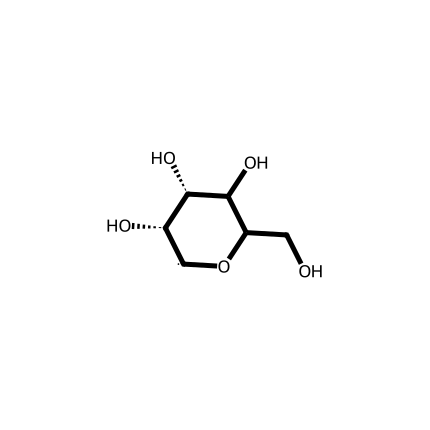 OCC1O[CH][C@H](O)[C@H](O)C1O